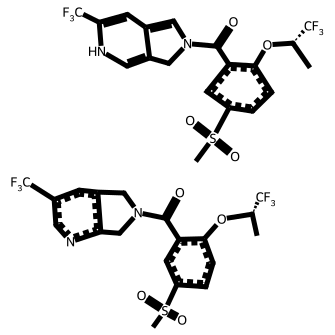 C[C@H](Oc1ccc(S(C)(=O)=O)cc1C(=O)N1C=C2C=C(C(F)(F)F)NC=C2C1)C(F)(F)F.C[C@H](Oc1ccc(S(C)(=O)=O)cc1C(=O)N1Cc2cc(C(F)(F)F)cnc2C1)C(F)(F)F